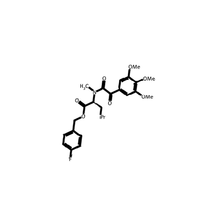 COc1cc(C(=O)C(=O)N(C)[C@@H](CC(C)C)C(=O)OCc2ccc(F)cc2)cc(OC)c1OC